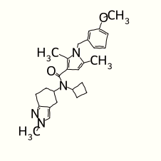 COc1cccc(Cn2c(C)cc(C(=O)N(C3CCC3)C3CCc4nn(C)cc4C3)c2C)c1